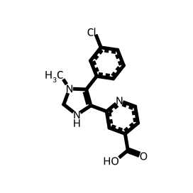 CN1CNC(c2cc(C(=O)O)ccn2)=C1c1cccc(Cl)c1